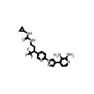 Nc1nccc(-c2cnn(-c3ccc(C(CCNC(=O)NC4CC4)C(F)(F)F)cn3)c2)c1N